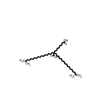 CC(C)CCCCCCCCCCCCCCCC(CCCCCCCCCCCCCCCC(C)C)(CCCCCCCC(=O)O)C(=O)O